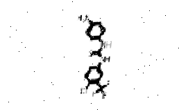 Nc1ccc(NC(=S)Nc2ccc(Cl)c(C(F)(F)F)c2)cc1